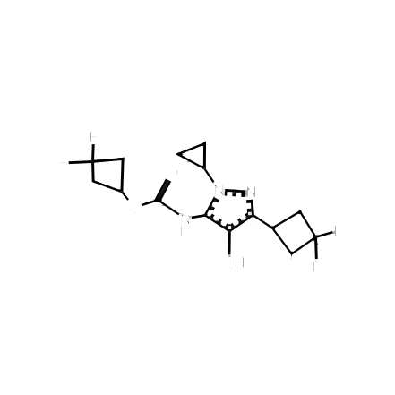 Cc1c(C2CC(F)(F)C2)nn(C2CC2)c1NC(=O)OC1CC(F)(F)C1